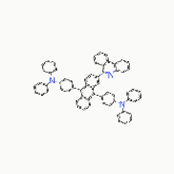 c1ccc(N(c2ccccc2)c2ccc(-c3c4ccccc4c(-c4ccc(N(c5ccccc5)c5ccccc5)cc4)c4cc(-c5nc6ccccc6c6ccccc56)ccc34)cc2)cc1